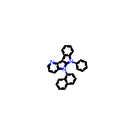 c1ccc(-n2c3ccccc3c3c4ncccc4n(-c4cccc5ccccc45)c32)cc1